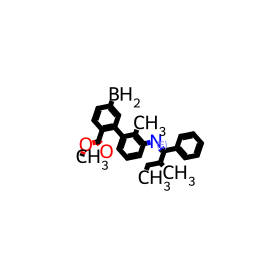 Bc1ccc(C(=O)OC)c(-c2cccc(/N=C(/c3ccccc3)C(C)CC)c2C)c1